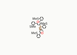 CSc1ccccc1C1=CC(S[SH](C2=CC(c3ccccc3SC)OC(c3ccccc3SC)=C2)c2ccccc2SC)=CCO1